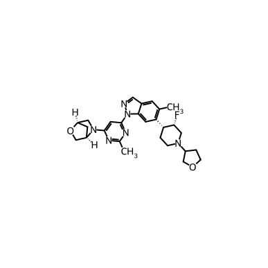 Cc1nc(N2C[C@H]3C[C@@H]2CO3)cc(-n2ncc3cc(C)c([C@H]4CCN(C5CCOC5)C[C@H]4F)cc32)n1